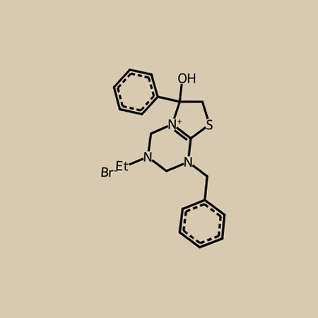 CCN1CN(Cc2ccccc2)C2=[N+](C1)C(O)(c1ccccc1)CS2.[Br-]